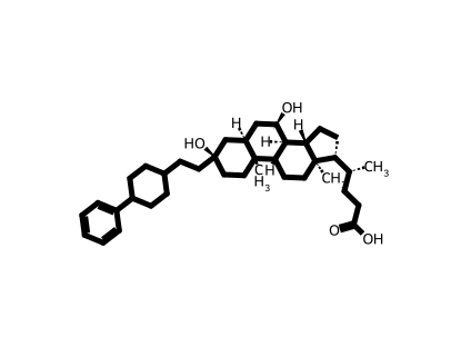 C[C@H](CCC(=O)O)[C@H]1CC[C@H]2[C@@H]3[C@H](O)C[C@@H]4C[C@@](O)(CCC5CCC(c6ccccc6)CC5)CC[C@]4(C)[C@H]3CC[C@]12C